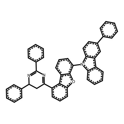 c1ccc(C2=NC(c3ccccc3)CC(c3cccc4oc5c(-n6c7ccccc7c7cc(-c8ccccc8)ccc76)cccc5c34)=N2)cc1